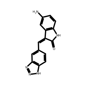 Nc1ccc2c(c1)C(=Cc1ccc3[nH]nnc3c1)C(=O)N2